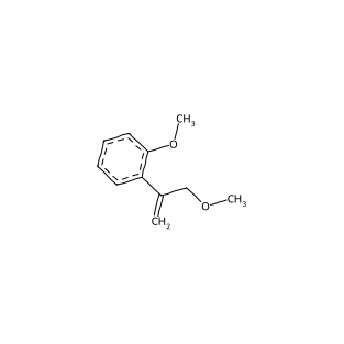 C=C(COC)c1ccccc1OC